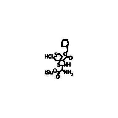 CC(C)(C)OC(=O)C(N)C1NC(C(=O)OCc2ccccc2)C2(CCSCC2)S1.Cl